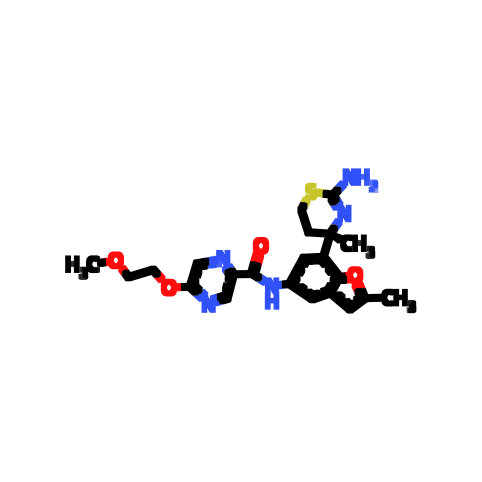 COCCOc1cnc(C(=O)Nc2cc([C@]3(C)CCSC(N)=N3)c3oc(C)cc3c2)cn1